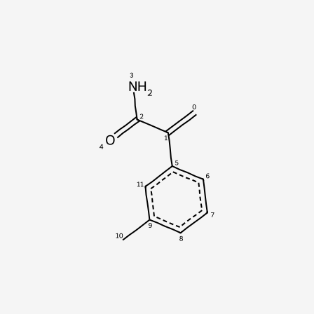 C=C(C(N)=O)c1cccc(C)c1